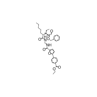 CCCCCC(C(=O)NCNC(=O)c1ccc(-c2ccc(C(=O)OCC)cc2)o1)[C@@H](CC)N(C=O)OCc1ccccc1